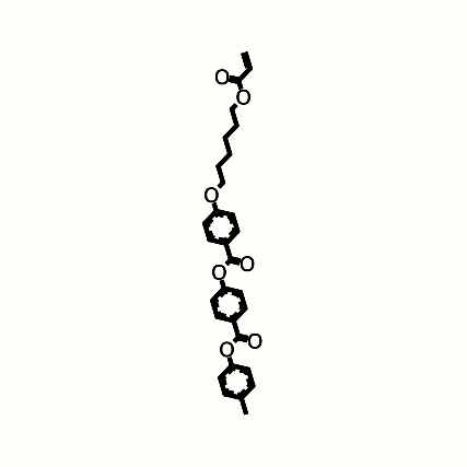 C=CC(=O)OCCCCCCOc1ccc(C(=O)Oc2ccc(C(=O)Oc3ccc(C)cc3)cc2)cc1